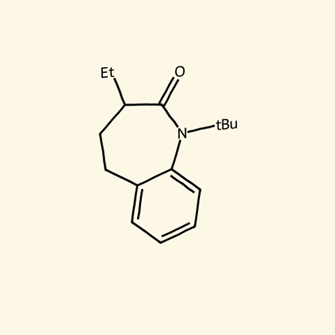 CCC1CCc2ccccc2N(C(C)(C)C)C1=O